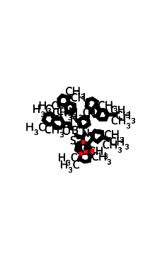 CC(C)(C)c1ccc(N2c3cc(N4c5ccc(C(C)(C)C)cc5C5(C)CCCCC45C)cc4c3B(c3oc5cc6c(cc5c3N4c3ccc4c(c3)C(C)(C)CCC4(C)C)C(C)(C)CCC6(C)C)c3sc4cc5c(cc4c32)C(C)(C)CCC5(C)C)c(-c2ccccc2)c1